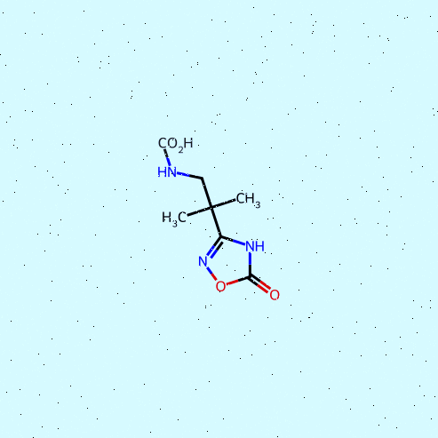 CC(C)(CNC(=O)O)c1noc(=O)[nH]1